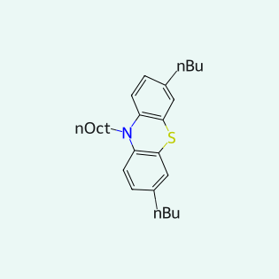 CCCCCCCCN1c2ccc(CCCC)cc2Sc2cc(CCCC)ccc21